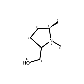 C[C@@H]1CCC(CO)N1C